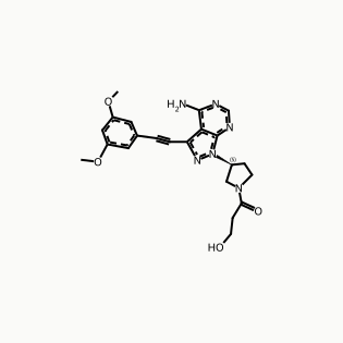 COc1cc(C#Cc2nn([C@H]3CCN(C(=O)CCO)C3)c3ncnc(N)c23)cc(OC)c1